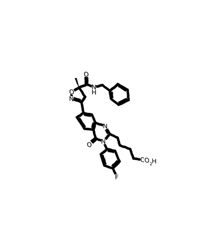 C[C@@]1(C(=O)NCc2ccccc2)CC(c2ccc3c(=O)n(-c4ccc(F)cc4)c(CCCCC(=O)O)nc3c2)=NO1